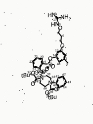 Cc1cc(OCCCONC(=N)N)cc(OS(=O)(=O)c2ccccc2S(=O)(=O)[N+]2(C(=O)OC(C)(C)C)CC[N+](C(=O)OC(C)(C)C)(c3ccccc3)CC2)c1